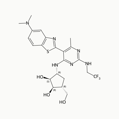 Cc1nc(NCC(F)(F)F)nc(N[C@@H]2C[C@H](CO)[C@@H](O)[C@H]2O)c1-c1nc2cc(N(C)C)ccc2s1